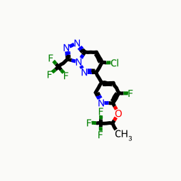 CC(Oc1ncc(-c2nn3c(C(F)(F)F)nnc3cc2Cl)cc1F)C(F)(F)F